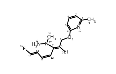 CC\C(COc1cccc(C)n1)=C(/C=C\C=C\F)N(C)N